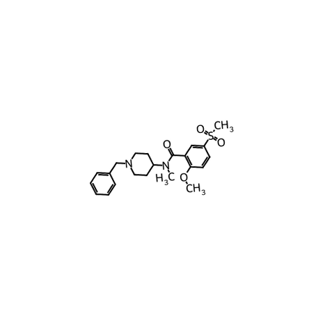 COc1ccc(S(C)(=O)=O)cc1C(=O)N(C)C1CCN(Cc2ccccc2)CC1